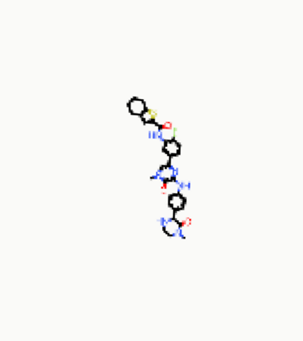 CN1CCNC(c2ccc(Nc3nc(-c4ccc(F)c(NC(=O)c5cc6c(s5)CCCC6)c4)cn(C)c3=O)cc2)C1=O